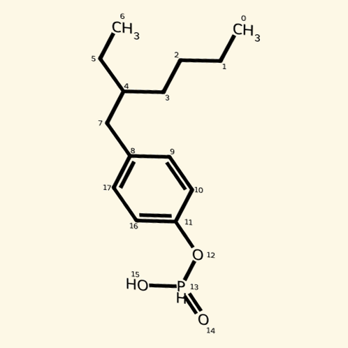 CCCCC(CC)Cc1ccc(O[PH](=O)O)cc1